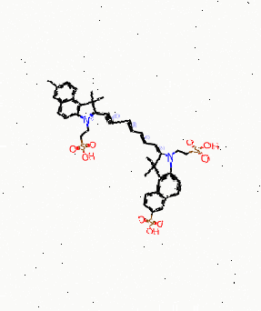 Cc1ccc2c3c(ccc2c1)[N+](CCS(=O)(=O)O)=C(/C=C/C=C/C=C/C=C1/N(CCS(=O)(=O)O)c2ccc4cc(S(=O)(=O)O)ccc4c2C1(C)C)C3(C)C